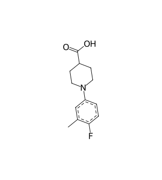 Cc1cc(N2CCC(C(=O)O)CC2)ccc1F